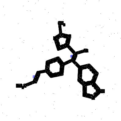 CC/C(=C(/c1ccc(/C=C/C(=O)O)cc1)c1ccc2[nH]ncc2c1)c1cnc(C)s1